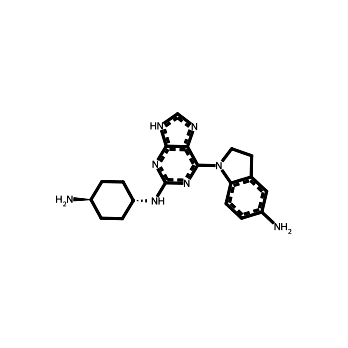 Nc1ccc2c(c1)CCN2c1nc(N[C@H]2CC[C@H](N)CC2)nc2[nH]cnc12